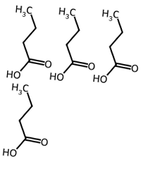 CCCC(=O)O.CCCC(=O)O.CCCC(=O)O.CCCC(=O)O